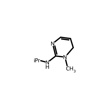 CC(C)NC1=NC=CCN1C